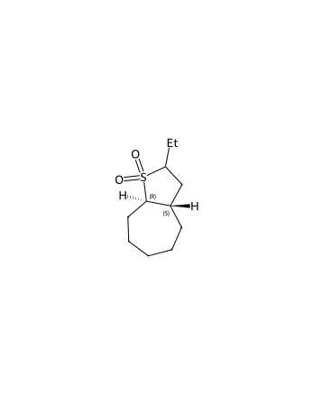 CCC1C[C@@H]2CCCCC[C@H]2S1(=O)=O